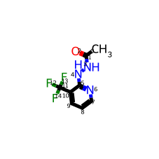 CC(=O)NNc1ncccc1C(F)(F)F